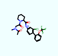 CC(=O)N(C)CC(=O)N1CCCCC1C(=O)Nc1ccc(-c2ccccc2OC(F)(F)F)c(Cl)c1